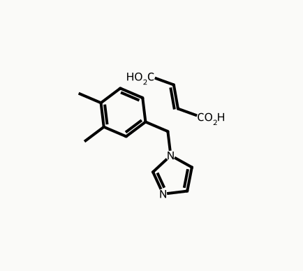 Cc1ccc(Cn2ccnc2)cc1C.O=C(O)/C=C/C(=O)O